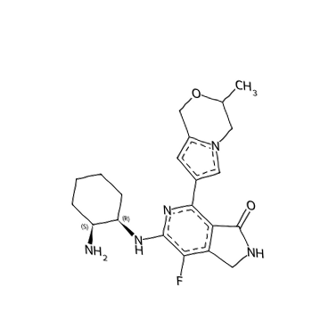 CC1Cn2cc(-c3nc(N[C@@H]4CCCC[C@@H]4N)c(F)c4c3C(=O)NC4)cc2CO1